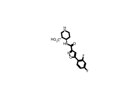 O=C(N[C@@H]1CCNC[C@H]1C(=O)O)c1cc(-c2ccc(F)cc2F)on1